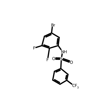 O=S(=O)(Nc1cc(Br)cc(F)c1F)c1cccc(C(F)(F)F)c1